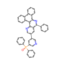 O=P(c1ccccc1)(c1ccccc1)c1cncc(-c2cnc3c(c2)c(-c2ccccc2)nc2c4ccccc4c4ccccc4c32)c1